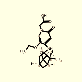 CCOc1nn(CC(=O)O)c(=O)cc1N[C@@H]1C[C@@H]2C[C@H]([C@H]1C)C2(C)C